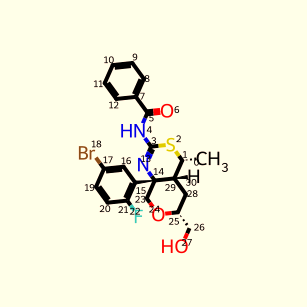 C[C@H]1SC(NC(=O)c2ccccc2)=N[C@@]2(c3cc(Br)ccc3F)CO[C@@H](CO)C[C@@H]12